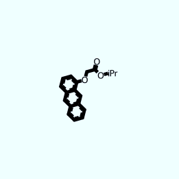 CC(C)OC(=O)COc1cccc2cc3ccccc3cc12